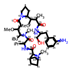 CCC(C)C(C(CC(=O)N1CCCC1C(OC)C(C)C(=O)NC(CO)Cc1cccc(N)c1)OC)N(C)C(=O)C(NC(=O)C1C2CCC(C2)N1C)C(C)C